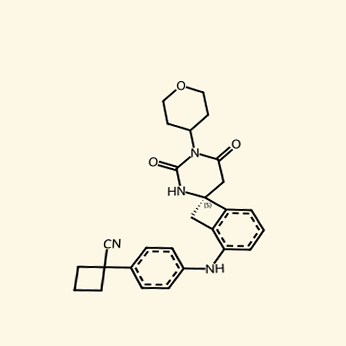 N#CC1(c2ccc(Nc3cccc4c3C[C@]43CC(=O)N(C4CCOCC4)C(=O)N3)cc2)CCC1